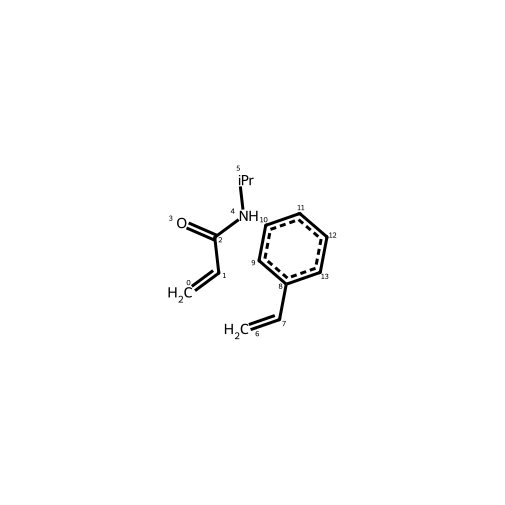 C=CC(=O)NC(C)C.C=Cc1ccccc1